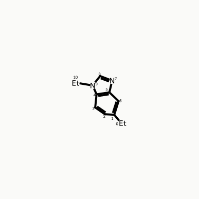 CCc1ccc2c(c1)ncn2CC